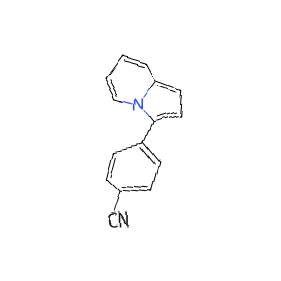 N#Cc1ccc(-c2ccc3ccccn23)cc1